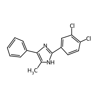 Cc1[nH]c(-c2ccc(Cl)c(Cl)c2)nc1-c1ccccc1